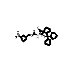 O=C(NN1C(=O)C[C@H]1SC(c1ccccc1)(c1ccccc1)c1ccccc1)OCc1cccc([N+](=O)[O-])c1